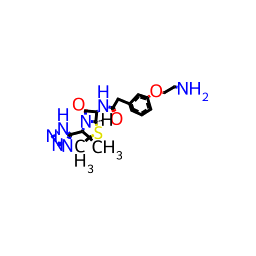 CC1(C)S[C@@H]2C(NC(=O)Cc3cccc(OCCN)c3)C(=O)N2C1c1nnn[nH]1